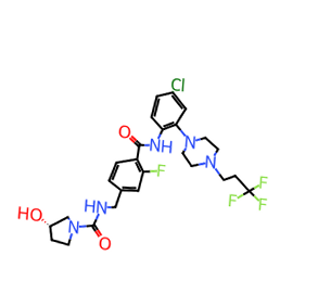 O=C(Nc1ccc(Cl)cc1N1CCN(CCC(F)(F)F)CC1)c1ccc(CNC(=O)N2CC[C@H](O)C2)cc1F